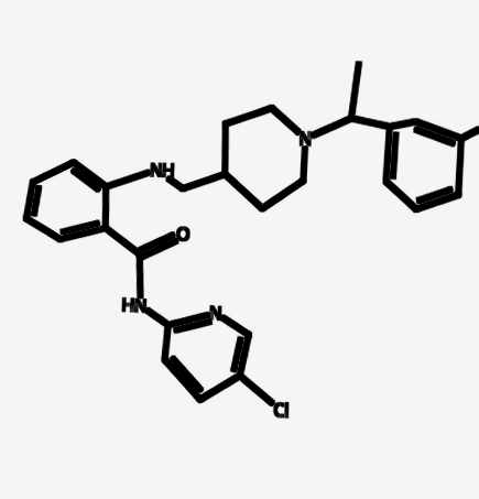 Cc1cccc(C(C)N2CCC(CNc3ccccc3C(=O)Nc3ccc(Cl)cn3)CC2)c1